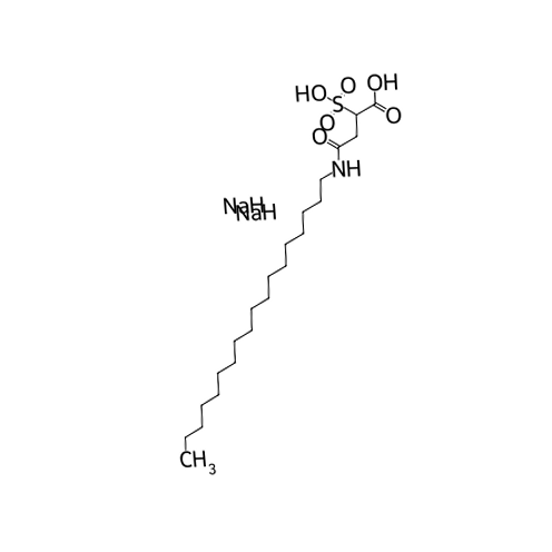 CCCCCCCCCCCCCCCCCCNC(=O)CC(C(=O)O)S(=O)(=O)O.[NaH].[NaH]